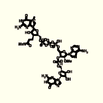 CNC(=O)CC[C@@H]1[C@@H](COP(=O)(O)OP(=O)(O)OP(=O)(O)OCC2O[C@@H](n3cnc4c(N)ncnc43)[C@H](OC)[C@@H]2OP(=O)(O)OC[C@H]2O[C@@H](n3cnc4c(=O)[nH]c(N)nc43)[C@H](O)[C@@H]2O)OC(n2c[n+](C)c3c(=O)[nH]c(N)nc32)[C@@H]1O